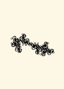 COC(=O)CN(CCN(CC(=O)NCCNC(=O)CN(CCN(CCN(CC(=O)OC)CC(=O)OC)CC(=O)OC)CC(=O)OC)CC(=O)OC)CCN(CC(=O)OC)CC(=O)OC